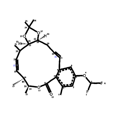 Cc1cc(OC(F)F)cc2c1C(=O)O[C@@H](C)[C@H](C)/C=C\C(C)[C@H]1OC(C)(C)O[C@H]1C/C=C/2